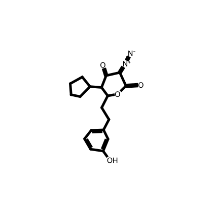 [N-]=[N+]=C1C(=O)OC(CCc2cccc(O)c2)C(C2CCCC2)C1=O